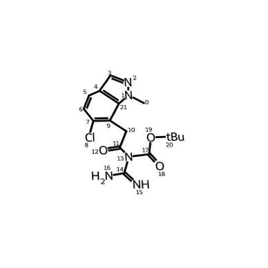 Cn1ncc2ccc(Cl)c(CC(=O)N(C(=N)N)C(=O)OC(C)(C)C)c21